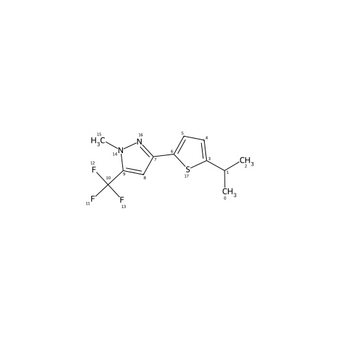 CC(C)c1ccc(-c2cc(C(F)(F)F)n(C)n2)s1